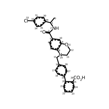 CC(NC(=O)c1ccc2c(c1)OCCN2Cc1ccc(-c2ccccc2C(=O)O)cc1)c1ccc(Cl)cc1